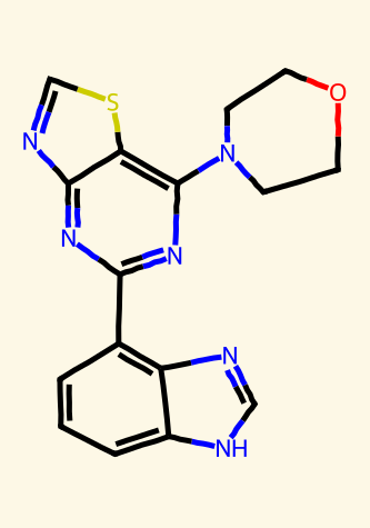 c1cc(-c2nc(N3CCOCC3)c3scnc3n2)c2nc[nH]c2c1